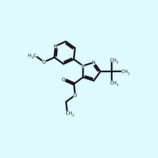 CCOC(=O)c1cc(C(C)(C)C)nn1-c1ccnc(OC)c1